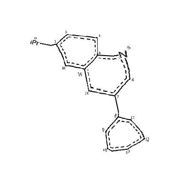 CC(C)c1ccc2ncc(-c3ccccc3)cc2c1